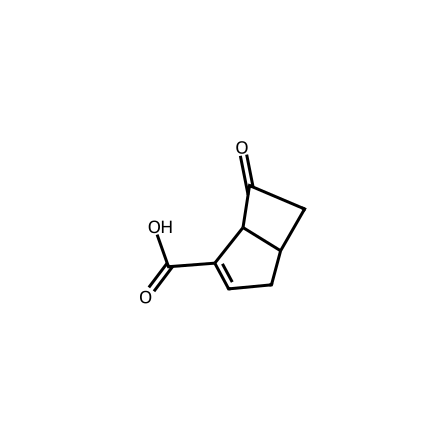 O=C(O)C1=CCC2CC(=O)C12